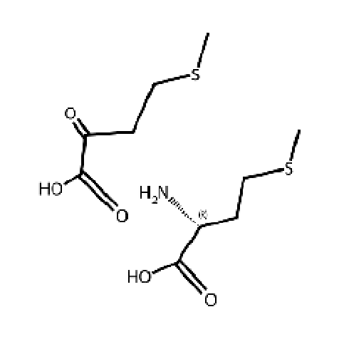 CSCCC(=O)C(=O)O.CSCC[C@@H](N)C(=O)O